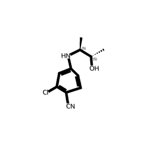 C[C@H](O)[C@H](C)Nc1ccc(C#N)c(Cl)c1